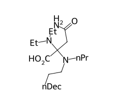 CCCCCCCCCCCCN(CCC)C(CC(N)=O)(C(=O)O)N(CC)CC